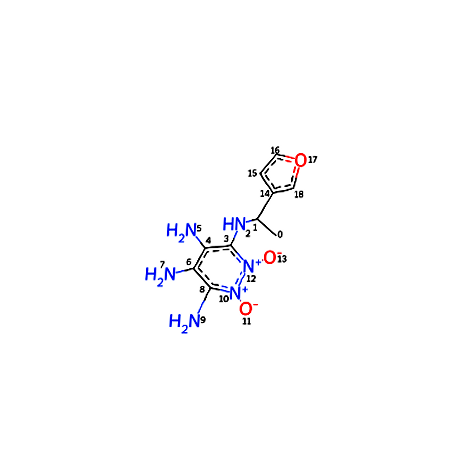 CC(Nc1c(N)c(N)c(N)[n+]([O-])[n+]1[O-])c1ccoc1